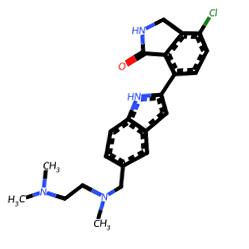 CN(C)CCN(C)Cc1ccc2[nH]c(-c3ccc(Cl)c4c3C(=O)NC4)cc2c1